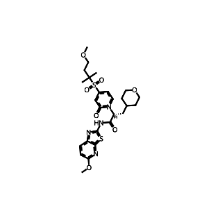 COCCC(C)(C)S(=O)(=O)c1ccn([C@H](CC2CCOCC2)C(=O)Nc2nc3ccc(OC)nc3s2)c(=O)c1